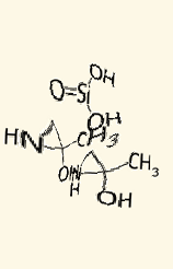 CC1(O)CN1.CC1(O)CN1.O=[Si](O)O